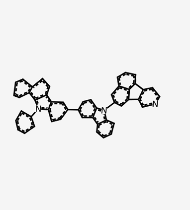 c1ccc(-n2c3ccc(-c4ccc5c(c4)c4ccccc4n5-c4cc5c6c(cccc6c4)-c4ccncc4-5)cc3c3ccc4ccccc4c32)cc1